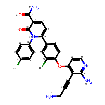 NCC#Cc1c(Oc2ccc(-c3ccc(C(N)=O)c(=O)n3-c3ccc(F)cc3)cc2F)ccnc1N